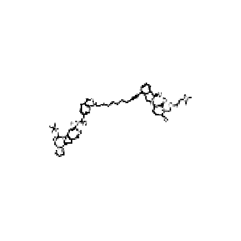 CN1CCC[C@@H]1c1cc2cnc(NC(=O)c3ccc4cnn(CCCCCCCC#Cc5cccc6c5CN(C5CCC(=O)N(COCC[Si](C)(C)C)C5=O)C6=O)c4c3)cc2n1C(=O)OC(C)(C)C